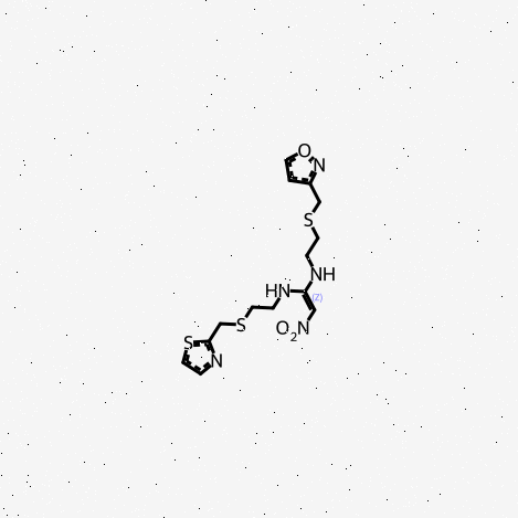 O=[N+]([O-])/C=C(/NCCSCc1ccon1)NCCSCc1nccs1